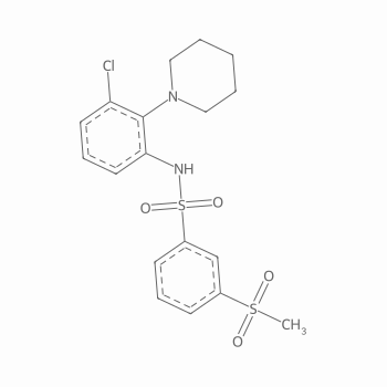 CS(=O)(=O)c1cccc(S(=O)(=O)Nc2cccc(Cl)c2N2CCCCC2)c1